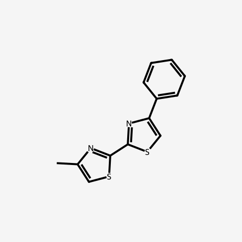 Cc1csc(-c2nc(-c3ccccc3)cs2)n1